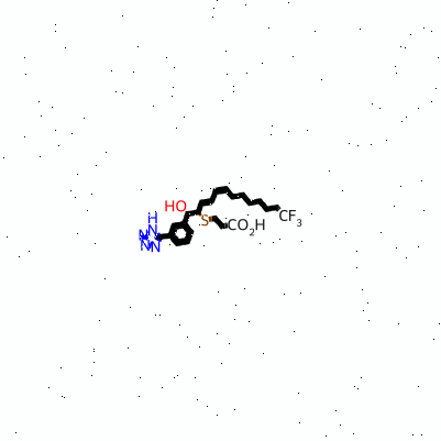 O=C(O)CCS[C@H](/C=C/C=C\CCCCCCC(F)(F)F)[C@@H](O)c1cccc(-c2nnn[nH]2)c1